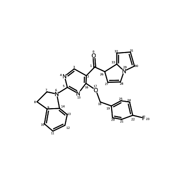 O=C(c1cnc(N2CCc3ccccc32)nc1OCc1ccc(F)cc1)C1C=Cn2cccc21